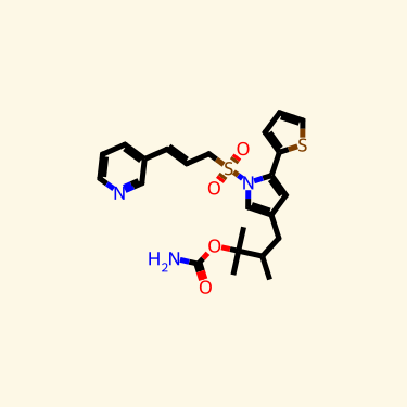 CC(Cc1cc(-c2cccs2)n(S(=O)(=O)CC=Cc2cccnc2)c1)C(C)(C)OC(N)=O